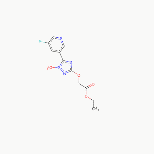 CCOC(=O)COc1nc(-c2cncc(F)c2)n(O)n1